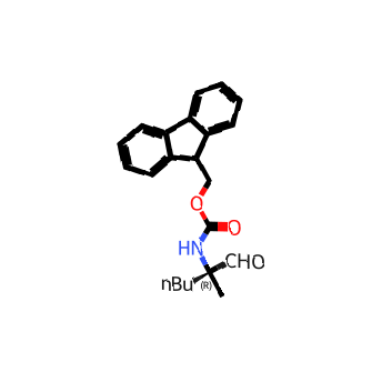 CCCC[C@](C)(C=O)NC(=O)OCC1c2ccccc2-c2ccccc21